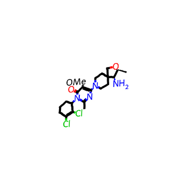 COc1c(N2CCC3(CC2)CO[C@@H](C)[C@H]3N)nc(C)n(C2CCCC(Cl)=C2Cl)c1=O